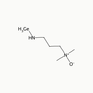 C[N+](C)([O-])CCC[NH][GeH3]